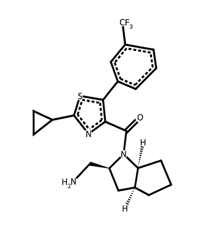 NC[C@@H]1C[C@@H]2CCC[C@@H]2N1C(=O)c1nc(C2CC2)sc1-c1cccc(C(F)(F)F)c1